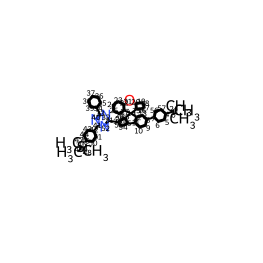 CC(C)(C)c1ccc(-c2ccc3c(c2)C2(c4ccccc4Oc4ccccc42)c2cc(-c4nc(-c5ccccc5)nc(-c5ccc([Si](C)(C)C)cc5)n4)ccc2-3)cc1